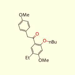 CCCCOc1cc(OC)c(CC)cc1C(=O)Cc1ccc(OC)cc1